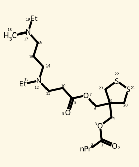 CCCC(=O)OCC1(COC(=O)CCN(CC)CCCN(C)CC)CSSC1